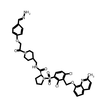 Cc1ccc2cccc(OCc3c(Cl)ccc(S(=O)(=O)N4CCC[C@H]4C(=O)NCC4CCN(C(=O)COc5ccc(C=NN)cc5)CC4)c3Cl)c2n1